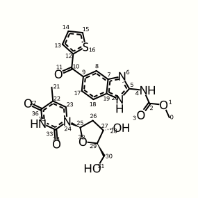 COC(=O)Nc1nc2cc(C(=O)c3cccs3)ccc2[nH]1.Cc1cn([C@H]2C[C@H](O)[C@@H](CO)O2)c(=O)[nH]c1=O